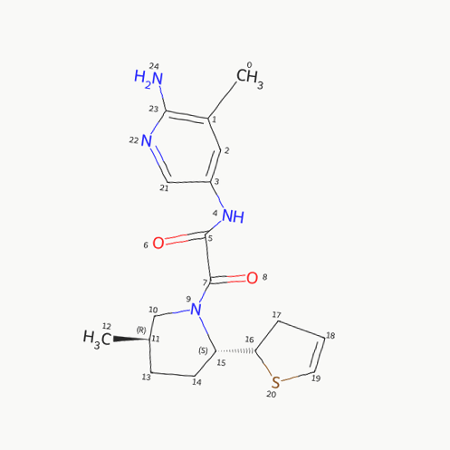 Cc1cc(NC(=O)C(=O)N2C[C@H](C)CC[C@H]2C2CC=CS2)cnc1N